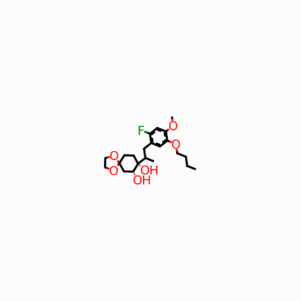 CCCCOc1cc(CC(C)[C@]2(O)CCC3(C[C@H]2O)OCCO3)c(F)cc1OC